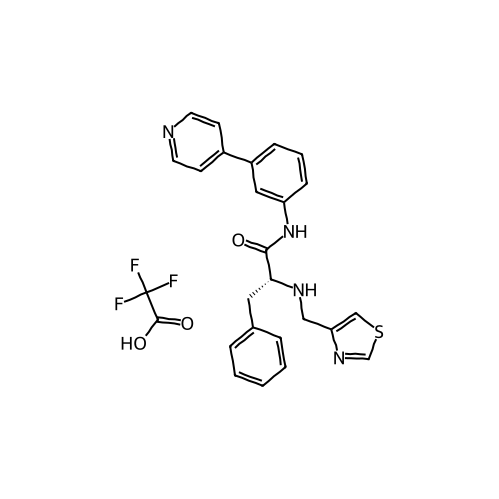 O=C(Nc1cccc(-c2ccncc2)c1)[C@@H](Cc1ccccc1)NCc1cscn1.O=C(O)C(F)(F)F